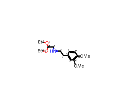 CCOC(CNCCc1ccc(OC)c(OC)c1)OCC